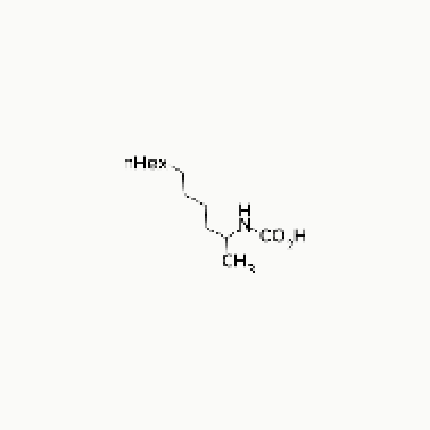 CCCCCCCCCCC(C)NC(=O)O